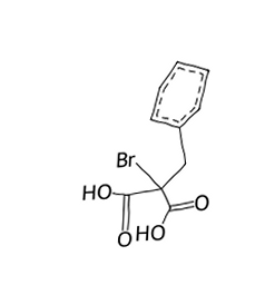 O=C(O)C(Br)(Cc1ccccc1)C(=O)O